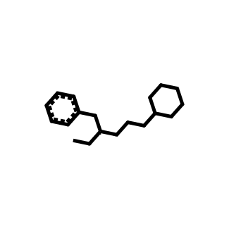 CC[C](CCCC1CCCCC1)Cc1ccccc1